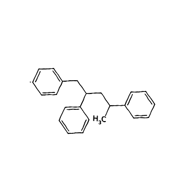 CC(CC(Cc1cc[c]cc1)c1ccccc1)c1ccccc1